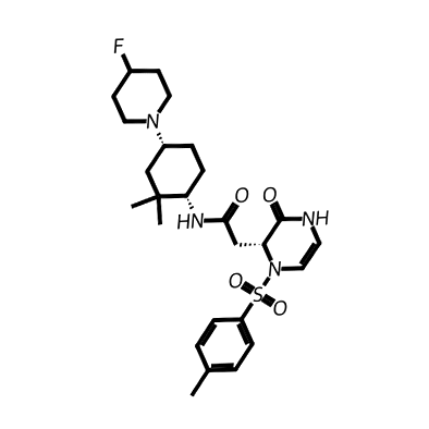 Cc1ccc(S(=O)(=O)N2C=CNC(=O)[C@H]2CC(=O)N[C@H]2CC[C@@H](N3CCC(F)CC3)CC2(C)C)cc1